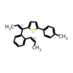 C/C=C\c1ccccc1/C(=C\C)c1ccc(-c2ccc(C)cc2)s1